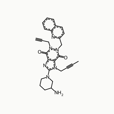 C#CCn1c(=O)c2nc(N3CCCC(N)C3)n(CC#CC)c2c(=O)n1Cc1ccc2ccccc2n1